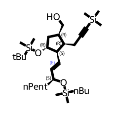 CCCCC[C@@H](/C=C/[C@@H]1[C@H](CC#C[Si](C)(C)C)[C@H](CO)C[C@H]1O[Si](C)(C)C(C)(C)C)O[Si](C)(C)CCCC